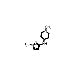 CN1CCC(Nc2ccn(C)n2)CC1